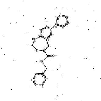 O=C(OCc1ccccc1)N1CCNc2ccc(-c3ccccc3)cc2C1